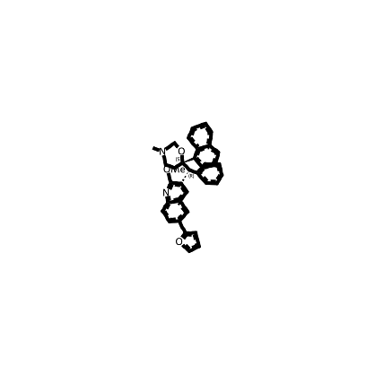 COc1nc2ccc(-c3ccco3)cc2cc1[C@@H](c1ccccc1)[C@]1(c2cccc3ccccc23)CCN(C)CO1